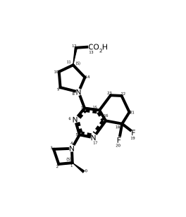 C[C@H]1CCN1c1nc(N2CC[C@@H](CC(=O)O)C2)c2c(n1)C(F)(F)CCC2